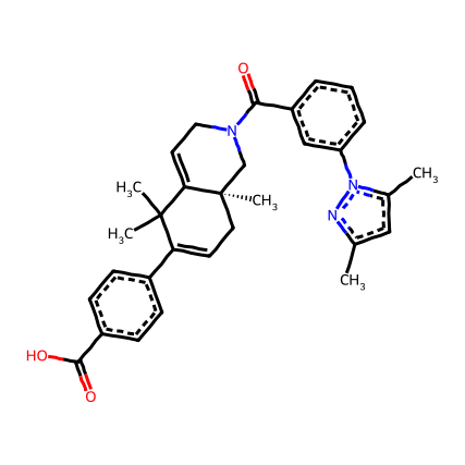 Cc1cc(C)n(-c2cccc(C(=O)N3CC=C4C(C)(C)C(c5ccc(C(=O)O)cc5)=CC[C@]4(C)C3)c2)n1